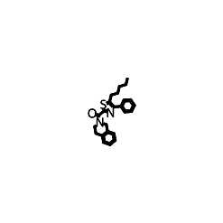 CCCCCc1sc(C(=O)N2CCc3ccccc3C2)nc1-c1ccccc1